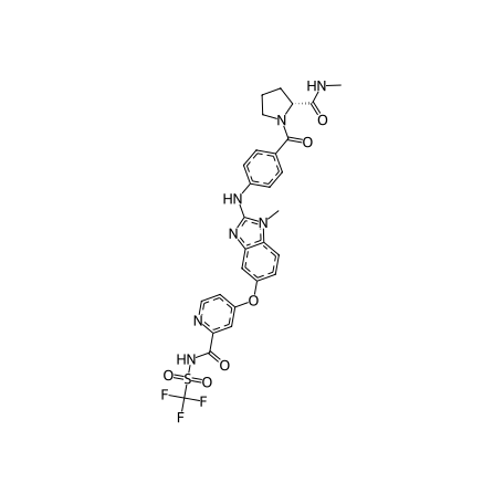 CNC(=O)[C@H]1CCCN1C(=O)c1ccc(Nc2nc3cc(Oc4ccnc(C(=O)NS(=O)(=O)C(F)(F)F)c4)ccc3n2C)cc1